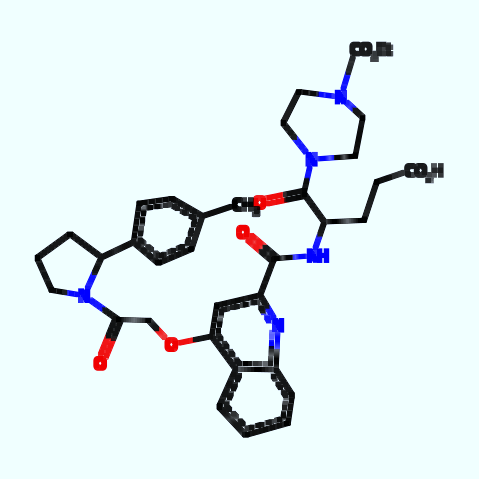 CCOC(=O)N1CCN(C(=O)C(CCC(=O)O)NC(=O)c2cc(OCC(=O)N3CCCC3c3ccc(C)cc3)c3ccccc3n2)CC1